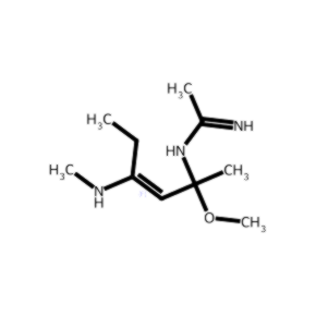 CC/C(=C\C(C)(NC(C)=N)OC)NC